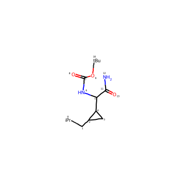 CC(C)CC1CC1C(NC(=O)OC(C)(C)C)C(N)=O